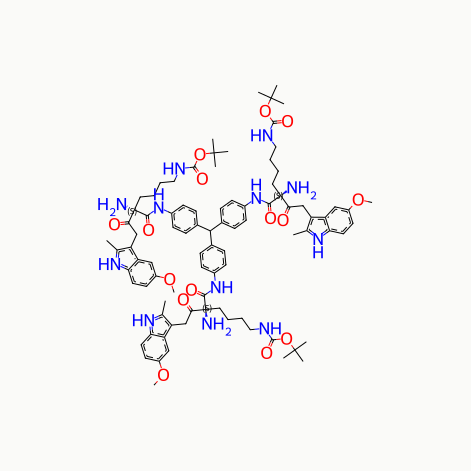 COc1ccc2[nH]c(C)c(CC(=O)[C@@](N)(CCCCNC(=O)OC(C)(C)C)C(=O)Nc3ccc(C(c4ccc(NC(=O)[C@](N)(CCCCNC(=O)OC(C)(C)C)C(=O)Cc5c(C)[nH]c6ccc(OC)cc56)cc4)c4ccc(NC(=O)[C@](N)(CCCCNC(=O)OC(C)(C)C)C(=O)Cc5c(C)[nH]c6ccc(OC)cc56)cc4)cc3)c2c1